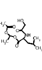 CC(=O)OC(C)OC(=O)C(CC(C)C)NC(=O)CO